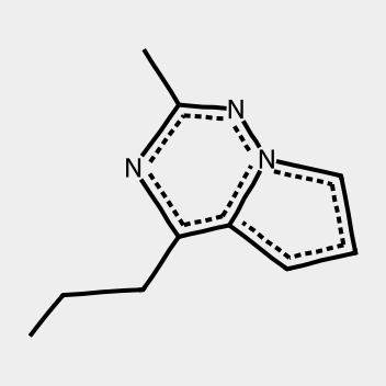 CCCc1nc(C)nn2cccc12